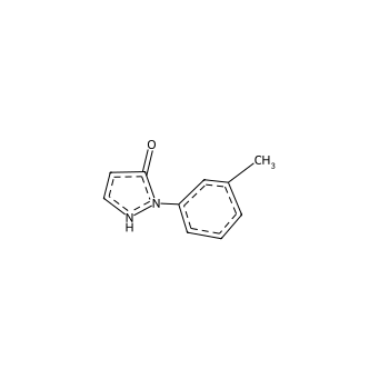 Cc1cccc(-n2[nH]ccc2=O)c1